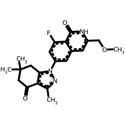 COCc1cc2cc(-n3nc(C)c4c3CC(C)(C)CC4=O)cc(F)c2c(=O)[nH]1